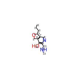 CCCC1OCc2c1cnc(CNC)c2O